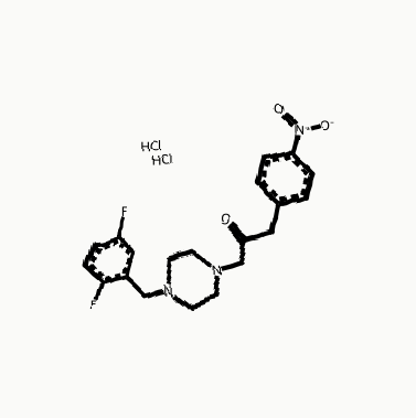 Cl.Cl.O=C(Cc1ccc([N+](=O)[O-])cc1)CN1CCN(Cc2cc(F)ccc2F)CC1